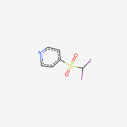 O=S(=O)(c1ccncc1)C(I)I